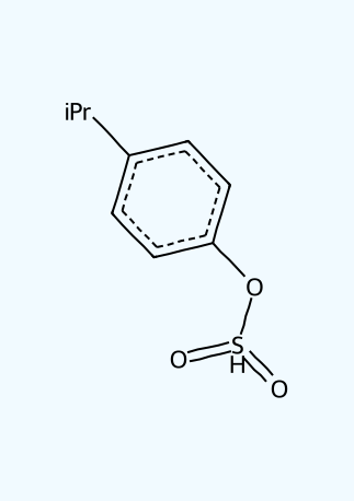 CC(C)c1ccc(O[SH](=O)=O)cc1